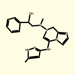 Cc1cc(NC2=CN(N(C)CC(O)c3ccccc3)CC3=NC=C[N+]23)n[nH]1